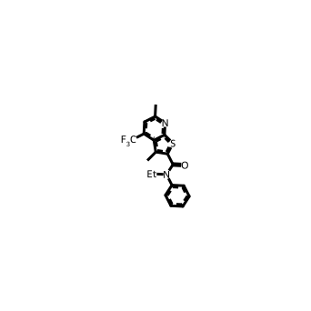 CCN(C(=O)c1sc2nc(C)cc(C(F)(F)F)c2c1C)c1ccccc1